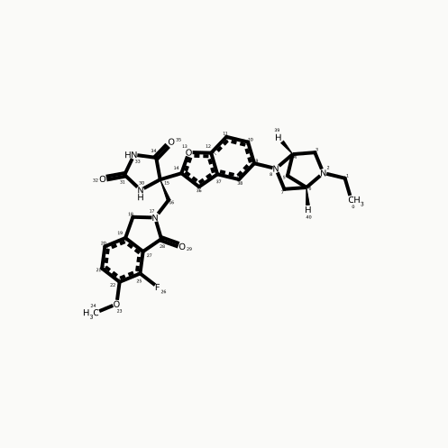 CCN1C[C@@H]2C[C@H]1CN2c1ccc2oc([C@]3(CN4Cc5ccc(OC)c(F)c5C4=O)NC(=O)NC3=O)cc2c1